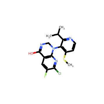 CSc1ccnc(C(C)C)c1N1CN=C(O)c2cc(F)c(Cl)nc21